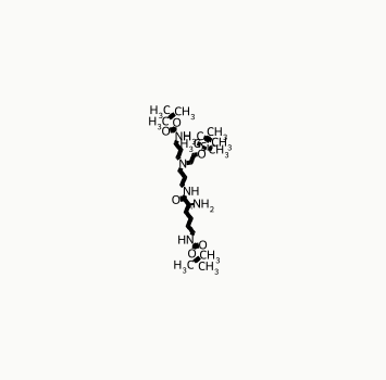 CC(C)(C)OC(=O)NCCCC[C@H](N)C(=O)NCCCN(CCCNC(=O)OC(C)(C)C)CCO[Si](C)(C)C(C)(C)C